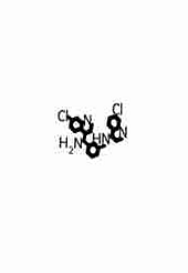 NC(c1cccc(CNc2ccnc3cc(Cl)ccc23)c1)c1ccnc2cc(Cl)ccc12